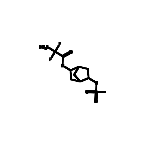 CS(=O)(=O)OC1CC2CC1CC2OC(=O)C(F)(F)S(=O)(=O)O